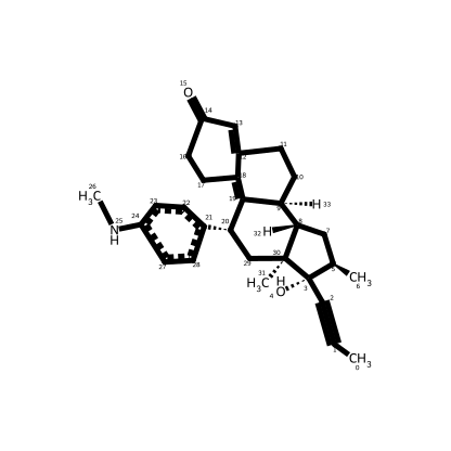 CC#C[C@]1(O)[C@H](C)C[C@H]2[C@@H]3CCC4=CC(=O)CCC4=C3[C@@H](c3ccc(NC)cc3)C[C@@]21C